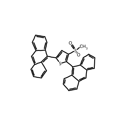 CS(=O)(=O)c1cc(-c2c3ccccc3cc3ccccc23)sc1-c1c2ccccc2cc2ccccc12